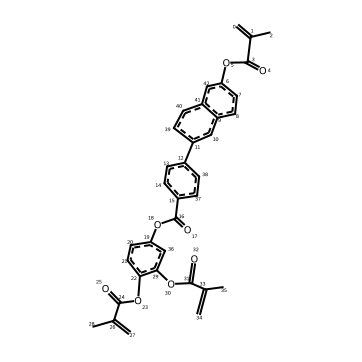 C=C(C)C(=O)Oc1ccc2cc(-c3ccc(C(=O)Oc4ccc(OC(=O)C(=C)C)c(OC(=O)C(=C)C)c4)cc3)ccc2c1